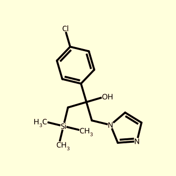 C[Si](C)(C)CC(O)(Cn1ccnc1)c1ccc(Cl)cc1